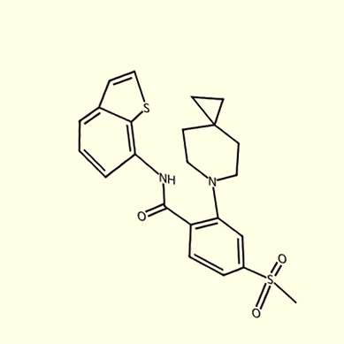 CS(=O)(=O)c1ccc(C(=O)Nc2cccc3ccsc23)c(N2CCC3(CC2)CC3)c1